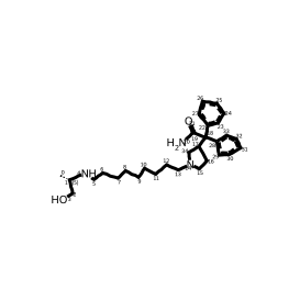 C[C@@H](CO)NCCCCCCCCCN1CCC(C(C(N)=O)(c2ccccc2)c2ccccc2)C1